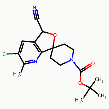 Cc1nc2c(cc1Cl)C(C#N)OC21CCN(C(=O)OC(C)(C)C)CC1